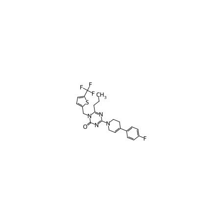 CCCc1nc(N2CC=C(c3ccc(F)cc3)CC2)nc(=O)n1Cc1ccc(C(F)(F)F)s1